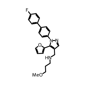 COCCCNCc1cnn(-c2ccc(-c3ccc(F)cc3)cc2)c1-c1ccco1